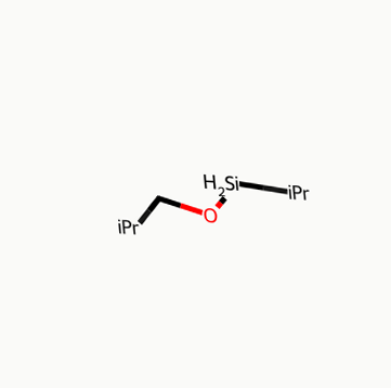 CC(C)CO[SiH2]C(C)C